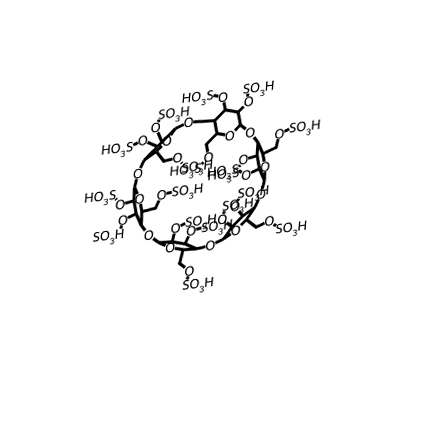 O=S(=O)(O)OCC1OC2OC3C(COS(=O)(=O)O)OC(OC4C(COS(=O)(=O)O)OC(OC5C(COS(=O)(=O)O)OC(OC6C(COS(=O)(=O)O)OC(OC7C(COS(=O)(=O)O)OC(OC1C(OS(=O)(=O)O)C2OS(=O)(=O)O)C(OS(=O)(=O)O)C7OS(=O)(=O)O)C(OS(=O)(=O)O)C6OS(=O)(=O)O)C(OS(=O)(=O)O)C5OS(=O)(=O)O)C(OS(=O)(=O)O)C4OS(=O)(=O)O)C(OS(=O)(=O)O)C3OS(=O)(=O)O